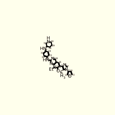 CCn1c(=O)c(-c2ncn(-c3ccoc3)c2C)cc2cnc(Nc3ccc(NC4CCCNC4)cc3)nc21